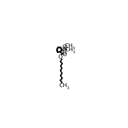 CCCCCCCCCCCCOC(=O)c1ccccc1P(C)(=O)OC